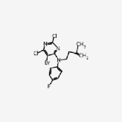 C=C(C)CCN(c1ccc(F)cc1)c1nc(Cl)nc(Cl)c1Br